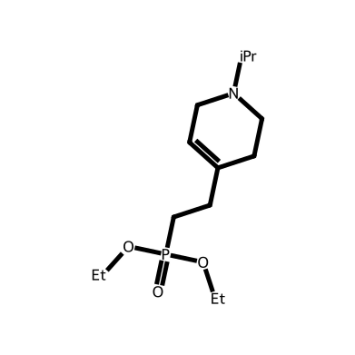 CCOP(=O)(CCC1=CCN(C(C)C)CC1)OCC